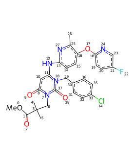 COC(=O)C(C)(C)Cn1c(=O)cc(Nc2ccc(Oc3ccc(F)cn3)c(C)n2)n(Cc2ccc(Cl)cc2)c1=O